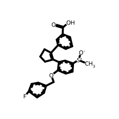 C[S+]([O-])c1ccc(OCc2ccc(F)cc2)c(C2=C(c3cccc(C(=O)O)c3)CCC2)c1